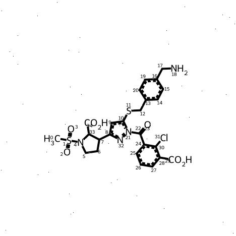 CS(=O)(=O)N1CCC(c2cc(SCc3ccc(CN)cc3)n(C(=O)c3cccc(C(=O)O)c3Cl)n2)C1C(=O)O